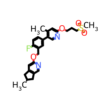 Cc1cc(OCCCS(C)(=O)=O)ncc1-c1ccc(F)c(COc2cc3c(cn2)C[C@@H](C)C3)c1